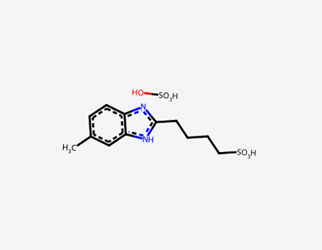 Cc1ccc2nc(CCCCS(=O)(=O)O)[nH]c2c1.O=S(=O)(O)O